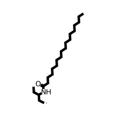 [CH2]CC(CC)NC(=O)CCCCCCCCCCCCCCCCC